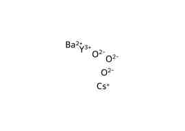 [Ba+2].[Cs+].[O-2].[O-2].[O-2].[Y+3]